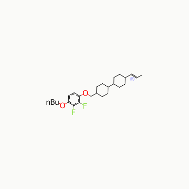 C/C=C/C1CCC(C2CCC(COc3ccc(OCCCC)c(F)c3F)CC2)CC1